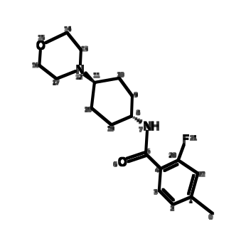 Cc1ccc(C(=O)N[C@H]2CC[C@H](N3CCOCC3)CC2)c(F)c1